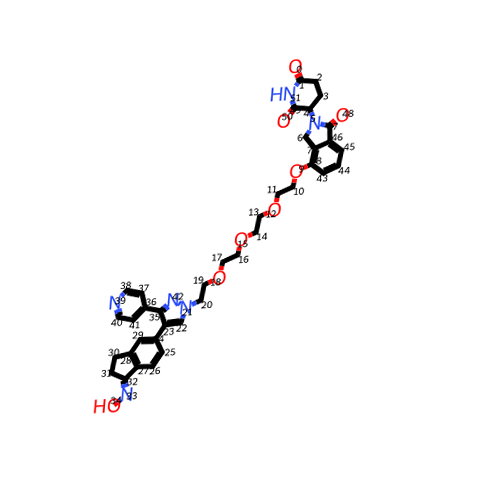 O=C1CCC(N2Cc3c(OCCOCCOCCOCCn4cc(-c5ccc6c(c5)CC/C6=N\O)c(-c5ccncc5)n4)cccc3C2=O)C(=O)N1